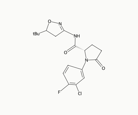 CC(C)(C)C1CC(NC(=O)[C@@H]2CCC(=O)N2c2ccc(F)c(Cl)c2)=NO1